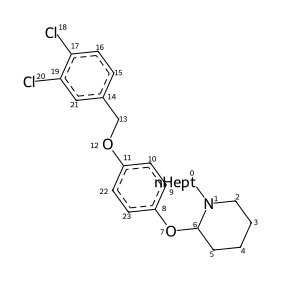 CCCCCCCN1CCCCC1Oc1ccc(OCc2ccc(Cl)c(Cl)c2)cc1